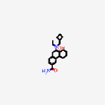 CCN(CC1CCC1)[C@@H]1Cc2ccc(C(N)=O)cc2C2CCCC[C@]21O